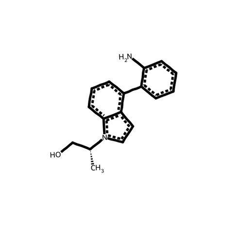 C[C@H](CO)n1ccc2c(-c3ccccc3N)cccc21